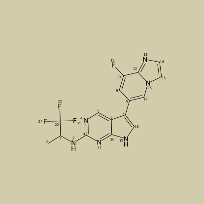 CC(Nc1ncc2c(-c3cc(F)c4nccn4c3)c[nH]c2n1)C(F)(F)F